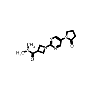 CN(C)C(=O)C1CN(c2ncc(N3CCCC3=O)cn2)C1